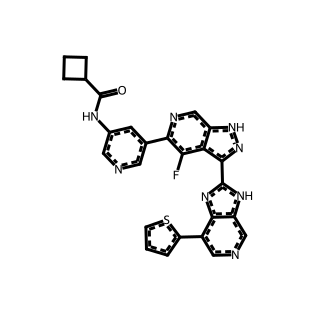 O=C(Nc1cncc(-c2ncc3[nH]nc(-c4nc5c(-c6cccs6)cncc5[nH]4)c3c2F)c1)C1CCC1